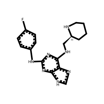 Fc1ccc(Nc2nc(NC[C@@H]3CCCCN3)c3nc[nH]c3n2)cc1